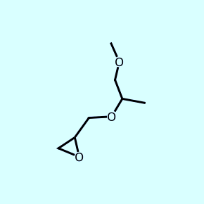 COCC(C)OCC1CO1